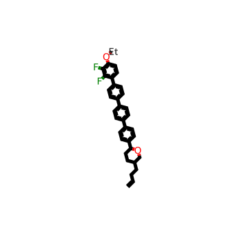 C=CCCC1CCC(c2ccc(-c3ccc(-c4ccc(-c5ccc(OCC)c(F)c5F)cc4)cc3)cc2)OC1